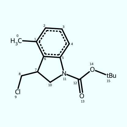 Cc1cccc2c1C(CCl)CN2C(=O)OC(C)(C)C